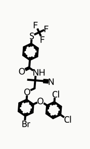 CC(C#N)(COc1ccc(Br)cc1Oc1ccc(Cl)cc1Cl)NC(=O)c1ccc(SC(F)(F)F)cc1